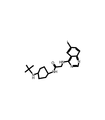 CC(C)(C)NC1CCC(NC(=O)CNc2ncnc3ccc(I)cc23)CC1